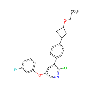 O=C(O)COC1CC(c2ccc(-c3cc(Oc4cccc(F)c4)cnc3Cl)cc2)C1